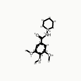 COc1cc(C(=O)NN2CCCCC2)cc(OC)c1OC